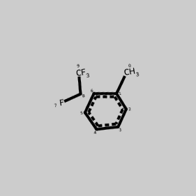 Cc1ccccc1.FCC(F)(F)F